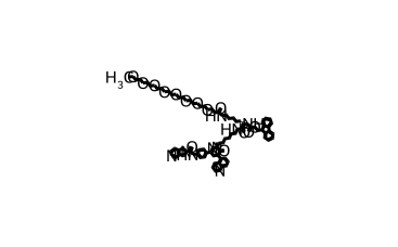 COCCOCCOCCOCCOCCOCCOCCOCCC(=O)NCCCCC[C@H](NC(=O)OCC1c2ccccc2-c2ccccc21)C(=O)NCCCCCCN1N=C(c2ccc(NC(=O)N3Cc4ccncc4C3)cc2)CC(c2cccc3ncccc23)C1=O